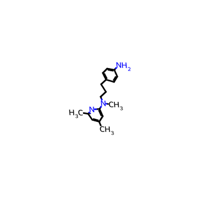 Cc1cc(C)nc(N(C)CCCc2ccc(N)cc2)c1